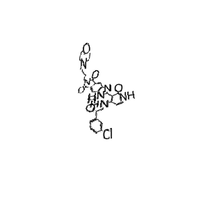 O=C1c2cc3nc(-c4c(NCC(O)c5cccc(Cl)c5)cc[nH]c4=O)[nH]c3cc2C(=O)N1CCCN1CCOCC1